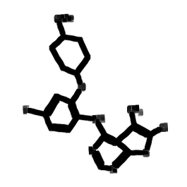 COC1CCC(Oc2cc(F)ccc2Nc2ncnc3sc(Cl)c(C)c23)CC1